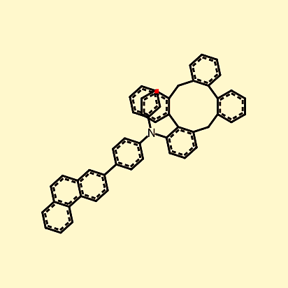 c1ccc(N(c2ccc(-c3ccc4c(ccc5ccccc54)c3)cc2)c2cccc3c2-c2ccccc2Cc2ccccc2-c2ccccc2C3)cc1